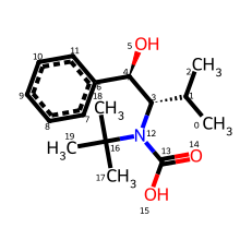 CC(C)[C@@H]([C@H](O)c1ccccc1)N(C(=O)O)C(C)(C)C